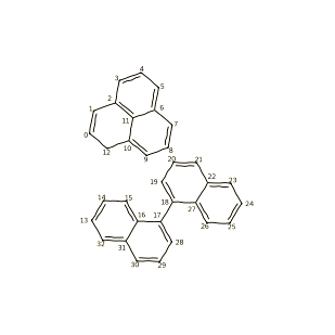 C1=Cc2cccc3cccc(c23)C1.c1ccc2c(-c3cccc4ccccc34)cccc2c1